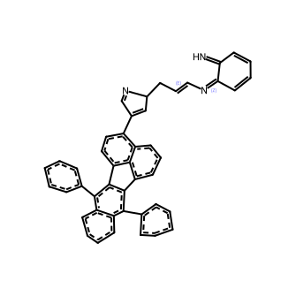 N=C1C=CC=C/C1=N/C=C/CC1C=C(c2ccc3c4c(cccc24)-c2c-3c(-c3ccccc3)c3ccccc3c2-c2ccccc2)C=N1